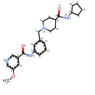 COc1cncc(C(=O)Nc2cccc(CN3CCC(C(=O)NC4CCCC4)CC3)c2)c1